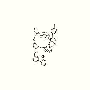 Cc1c2ccc(c1Cl)OC(CO)COc1ccc(OCc3ccnc(-c4ccccc4C#N)n3)c(c1)CC(C(=O)O)Oc1ncnc3sc(-c4ccc(F)cc4)c-2c13